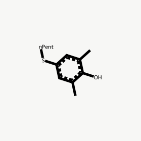 CCCCCSc1cc(C)c(O)c(C)c1